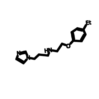 CCc1ccc(OCCNCCCn2ccnc2)cc1